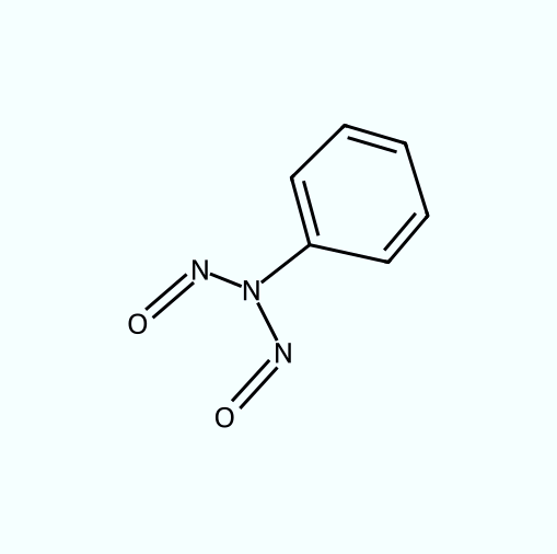 O=NN(N=O)c1ccccc1